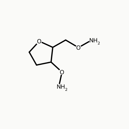 NOCC1OCCC1ON